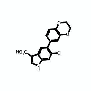 O=C(O)c1c[nH]c2cc(Cl)c(-c3ccc4c(c3)OCCO4)cc12